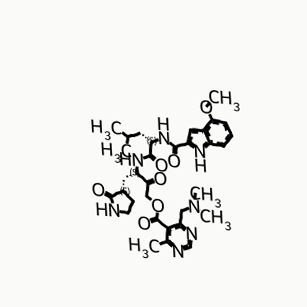 COc1cccc2[nH]c(C(=O)N[C@@H](CC(C)C)C(=O)N[C@@H](C[C@@H]3CCNC3=O)C(=O)COC(=O)c3c(C)ncnc3CN(C)C)cc12